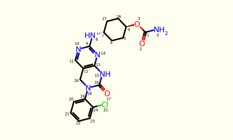 NC(=O)O[C@H]1CC[C@H](Nc2ncc3c(n2)NC(=O)N(c2ccccc2Cl)C3)CC1